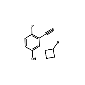 BrC1CCC1.N#Cc1cc(O)ccc1Br